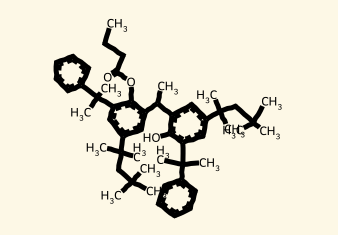 CCCC(=O)Oc1c(C(C)c2cc(C(C)(C)CC(C)(C)C)cc(C(C)(C)c3ccccc3)c2O)cc(C(C)(C)CC(C)(C)C)cc1C(C)(C)c1ccccc1